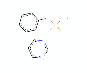 OP(O)(=S)Oc1ccccc1.c1cncnc1